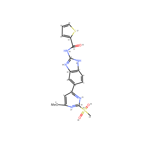 COc1cc(-c2ccc3[nH]c(NC(=O)c4cccs4)nc3c2)nc(S(C)(=O)=O)n1